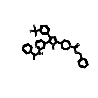 CC(Nc1cc(-c2c(-c3cccc(C(F)(F)F)c3)nc(C3CCN(C(=O)OCc4ccccc4)CC3)n2C)ccn1)c1ccccc1